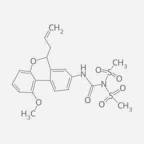 C=CCC1Oc2cccc(OC)c2-c2ccc(NC(=O)N(S(C)(=O)=O)S(C)(=O)=O)cc21